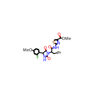 COC(=O)c1csc(NC(=O)C(CC(C)C)N2C(=O)NC(c3ccc(OC)cc3F)C2=O)n1